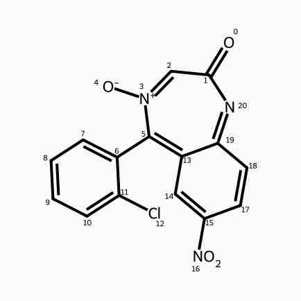 O=c1c[n+]([O-])c(-c2ccccc2Cl)c2cc([N+](=O)[O-])ccc2n1